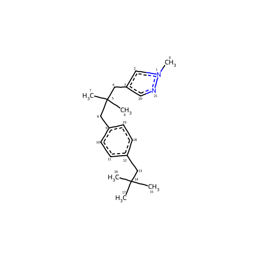 Cn1cc(CC(C)(C)Cc2ccc(CC(C)(C)C)cc2)cn1